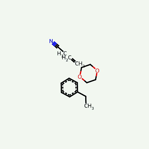 C1COCCO1.C=C.CC#N.CCc1ccccc1